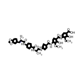 COc1c(NC(=O)c2ccc(NC(=O)c3ccc(NC(=O)[C@H](C)NC(=O)c4ccc(NC(=O)/C(C)=C/c5ccc6c(c5)OCO6)cc4)cc3)c(OC)c2O)ccc(C(=O)O)c1O